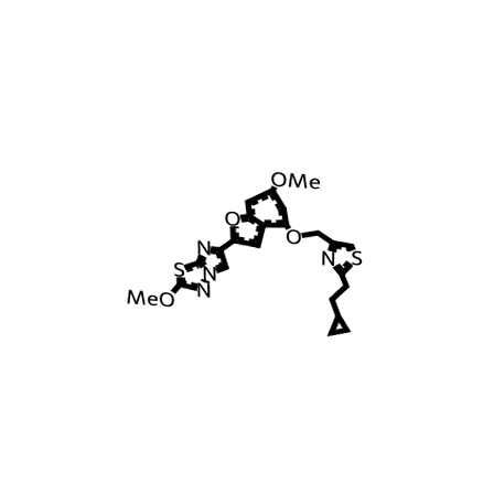 COc1cc(OCc2csc(CCC3CC3)n2)c2cc(-c3cn4nc(OC)sc4n3)oc2c1